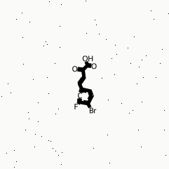 O=C(O)C(=O)/C=C/c1ccc(Br)c(F)c1